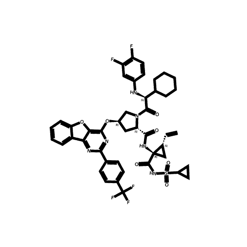 C=C[C@@H]1C[C@]1(NC(=O)[C@@H]1C[C@@H](Oc2nc(-c3ccc(C(F)(F)F)cc3)nc3c2oc2ccccc23)CN1C(=O)[C@@H](Nc1ccc(F)c(F)c1)C1CCCCC1)C(=O)NS(=O)(=O)C1CC1